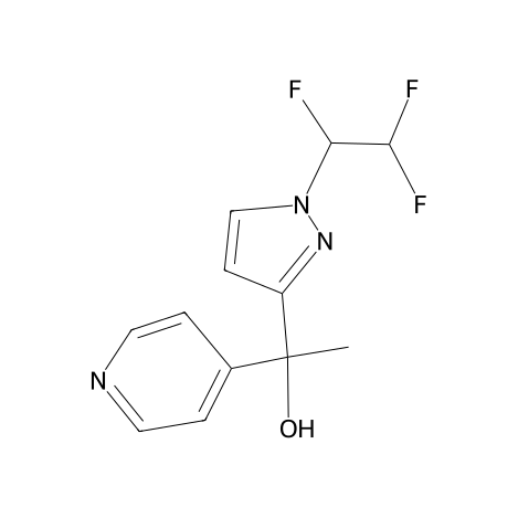 CC(O)(c1ccncc1)c1ccn(C(F)C(F)F)n1